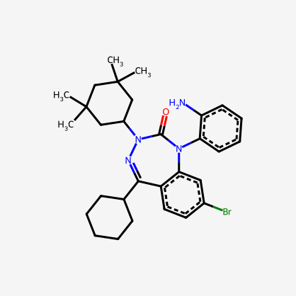 CC1(C)CC(N2N=C(C3CCCCC3)c3ccc(Br)cc3N(c3ccccc3N)C2=O)CC(C)(C)C1